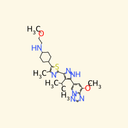 COCCNC1CCC(c2sc(-c3n[nH]c(-c4cc(OC)c5ncnn5c4)c3C(C)C)nc2C)CC1